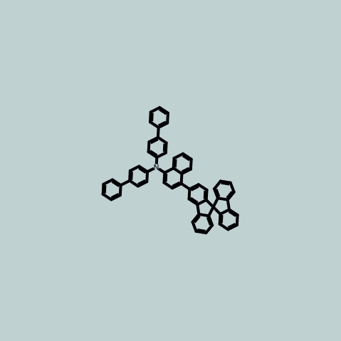 c1ccc(-c2ccc(N(c3ccc(-c4ccccc4)cc3)c3ccc(-c4ccc5c(c4)-c4ccccc4C54c5ccccc5-c5ccccc54)c4ccccc34)cc2)cc1